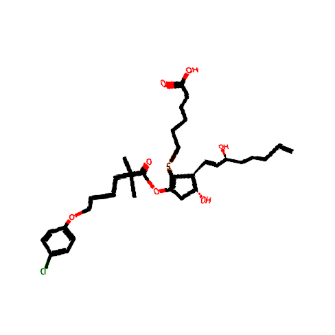 CCCCC[C@H](O)C=C[C@@H]1C(SCCCCCC(=O)O)=C(OC(=O)C(C)(C)CCCCOc2ccc(Cl)cc2)C[C@H]1O